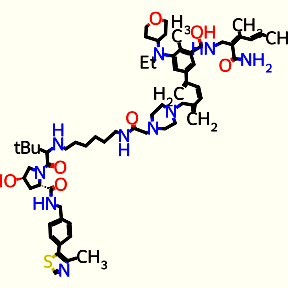 C=C(/C=C\C(=C)c1cc(C(O)NC/C(C(N)=O)=C(C)/C=C/C)c(C)c(N(CC)C2CCOCC2)c1)CN1CCN(CC(=O)NCCCCCCNC(C(=O)N2C[C@H](O)C[C@H]2C(=O)NCc2ccc(-c3scnc3C)cc2)C(C)(C)C)CC1